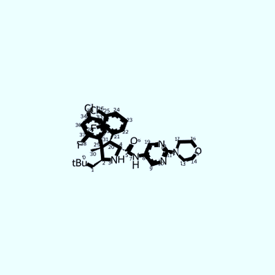 CC(C)(C)C[C@@H]1N[C@@H](C(=O)Nc2cnc(N3CCOCC3)nc2)[C@H](c2cccc(Cl)c2F)[C@@]1(C)c1ccc(Cl)cc1F